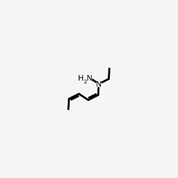 C/C=C\C=C/N(N)CC